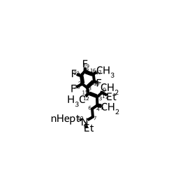 C=C(CC)/C(C(=C)CCN(CC)CCCCCCC)=C(/C)c1c(F)c(C)c(F)c(F)c1F